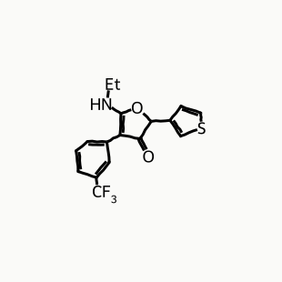 CCNC1=C(c2cccc(C(F)(F)F)c2)C(=O)C(c2ccsc2)O1